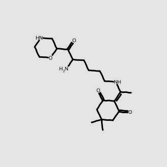 CC(NCCCCC(N)C(=O)C1CNCCO1)=C1C(=O)CC(C)(C)CC1=O